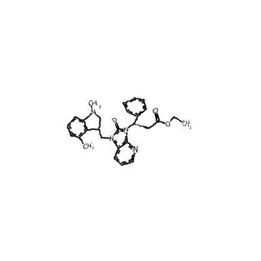 CCOC(=O)C[C@H](c1ccccc1)n1c(=O)n(CC2CN(C)c3cccc(C)c32)c2cccnc21